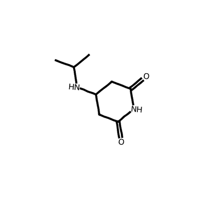 CC(C)NC1CC(=O)NC(=O)C1